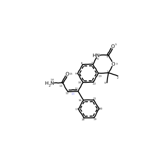 CC1(C)OC(=O)Nc2ccc(/C(=C\C(N)=O)c3ccccc3)cc21